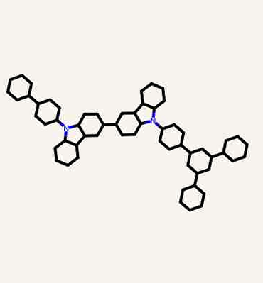 C1CCC(C2CCC(N3C4CCCCC4C4CC(C5CCC6C(C5)C5CCCCC5N6C5CCC(C6CC(C7CCCCC7)CC(C7CCCCC7)C6)CC5)CCC43)CC2)CC1